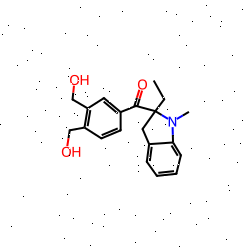 CCC1(C(=O)c2ccc(CO)c(CO)c2)Cc2ccccc2N1C